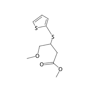 COCC(CC(=O)OC)Sc1cccs1